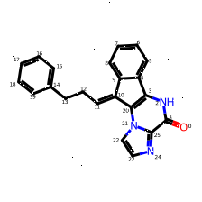 O=c1[nH]c2c3ccccc3c(=CCCc3ccccc3)c2n2ccnc12